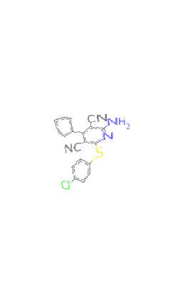 N#Cc1c(N)nc(Sc2ccc(Cl)cc2)c(C#N)c1-c1ccccc1